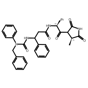 CC(C)[C@H](NC(=O)CC(NC(=O)N(Cc1ccccc1)c1ccccc1)c1ccccc1)C(=O)C1C(=O)NC(=O)[C@H]1C